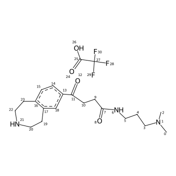 CN(C)CCCNC(=O)CCC(=O)c1ccc2c(c1)CCNCC2.O=C(O)C(F)(F)F